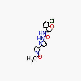 CC(=O)N1CCCC(c2cccc(NC(=O)N[C@H]3CCOc4c(Cl)cccc43)n2)C1